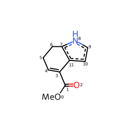 COC(=O)C1=CCCc2[nH]ccc21